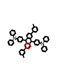 Cc1cccc(-c2ccc3c(c2)C2(c4ccc(N(c5ccccc5)c5ccccc5)cc4)C4=C(CCC=C4)C3(c3ccc(N(c4ccccc4)c4ccccc4)cc3)c3cc(-c4cccc(C)c4)ccc32)c1